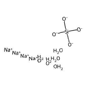 O.O.O.O.O.[Na+].[Na+].[Na+].[Na+].[O-][Si]([O-])([O-])[O-]